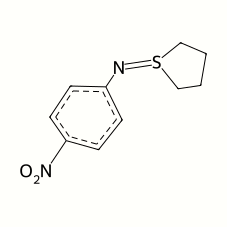 O=[N+]([O-])c1ccc(N=S2CCCC2)cc1